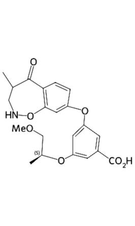 COC[C@H](C)Oc1cc(Oc2ccc3c(c2)ONCC(C)C3=O)cc(C(=O)O)c1